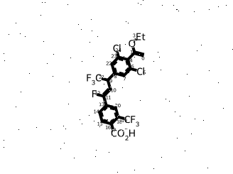 C=C(OCC)c1c(Cl)cc(C(/C=C(\F)c2ccc(C(=O)O)c(C(F)(F)F)c2)C(F)(F)F)cc1Cl